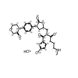 CNCCCC(=O)N(C[C@H]1CN(c2ccc(N3CCOCC3=O)cc2)C(=O)O1)C(=O)c1ccc(Cl)s1.Cl